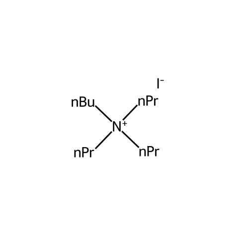 CCCC[N+](CCC)(CCC)CCC.[I-]